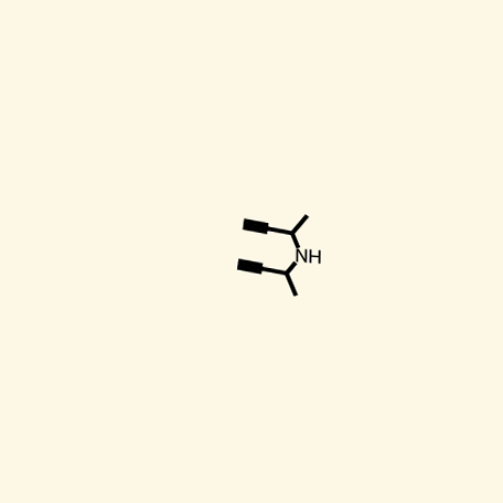 C#CC(C)NC(C)C#C